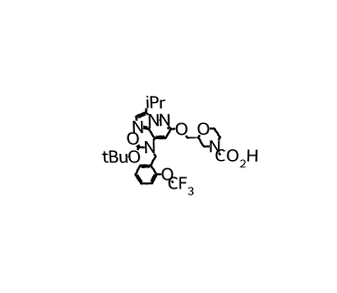 CC(C)c1cnc2c(N(Cc3ccccc3OC(F)(F)F)C(=O)OC(C)(C)C)cc(OC[C@@H]3CN(C(=O)O)CCO3)nn12